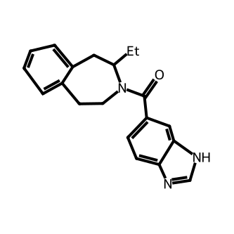 CCC1Cc2ccccc2CCN1C(=O)c1ccc2nc[nH]c2c1